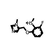 Cn1cncc1COc1cccc(F)c1[SH](C)C